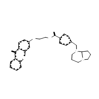 O=C(OCCSc1ccc2c(=O)c3ccccc3sc2c1)c1ccc(CN2CCCN3CCCC32)cc1